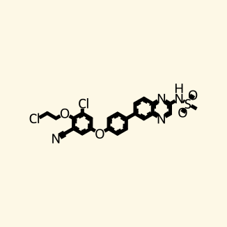 CS(=O)(=O)Nc1cnc2cc(-c3ccc(Oc4cc(Cl)c(OCCCl)c(C#N)c4)cc3)ccc2n1